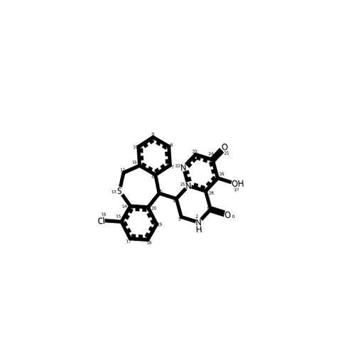 O=C1NCC(C2c3ccccc3CSc3c(Cl)cccc32)n2ncc(=O)c(O)c21